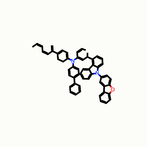 C=C(/C=C\C=C/C)C1=CC=C(N(C(/C=C\C)=C/C(C)c2cccc3c2c2ccccc2n3-c2ccc3oc4ccccc4c3c2)c2ccc(-c3ccccc3)cc2)CC1